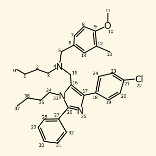 CCCCN(Cc1ccc(OC)c(C)c1)Cc1c(-c2ccc(Cl)cc2)nc(-c2ccccc2)n1CCCC